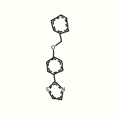 c1ccc(COc2ccc(-c3nccs3)cc2)cc1